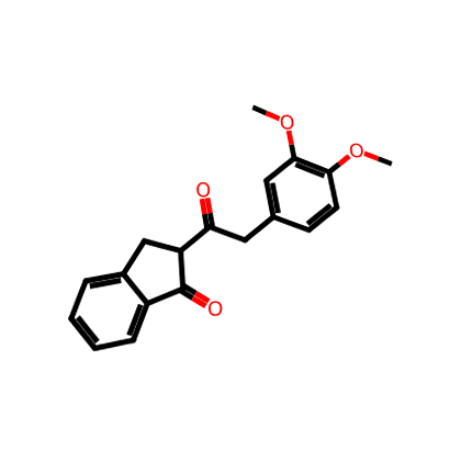 COc1ccc(CC(=O)C2Cc3ccccc3C2=O)cc1OC